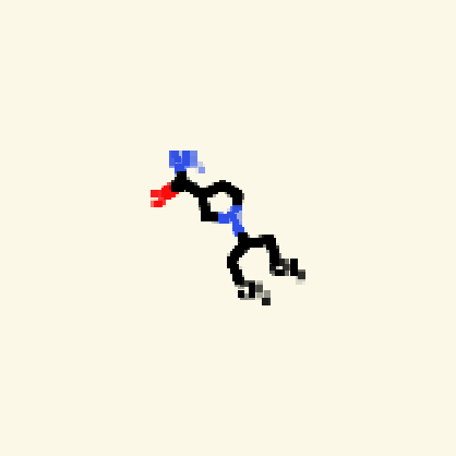 CCC(CC)N1CCC(C(N)=O)C1